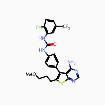 COCCCc1sc2ncnc(N)c2c1-c1ccc(NC(=O)Nc2cc(C(F)(F)F)ccc2F)cc1